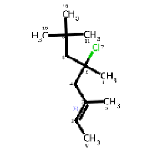 C/C=C(\C)CC(C)(Cl)CC(C)(C)C